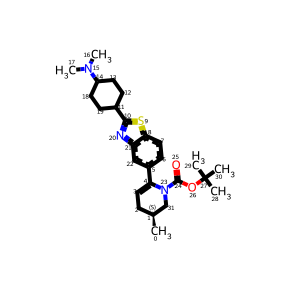 C[C@H]1CC=C(c2ccc3sc(C4CCC(N(C)C)CC4)nc3c2)N(C(=O)OC(C)(C)C)C1